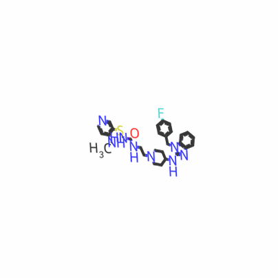 CNc1ccncc1SNC(=O)NCCN1CCC(Nc2nc3ccccc3n2Cc2ccc(F)cc2)CC1